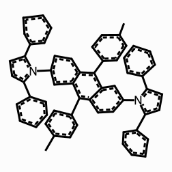 Cc1ccc(-c2c3ccc(-n4c(-c5ccccc5)ccc4-c4ccccc4)cc3c(-c3ccc(C)cc3)c3ccc(-n4c(-c5ccccc5)ccc4-c4ccccc4)cc23)cc1